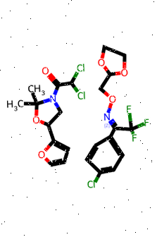 CC1(C)OC(c2ccco2)CN1C(=O)C(Cl)Cl.FC(F)(F)/C(=N\OCC1OCCO1)c1ccc(Cl)cc1